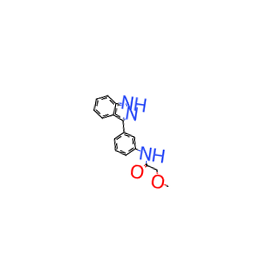 COCC(=O)Nc1cccc(-c2n[nH]c3ccccc23)c1